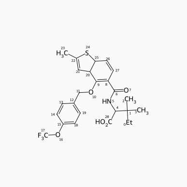 CCC(C)(C)C(NC(=O)C1=C(OCc2ccc(OC(F)(F)F)cc2)C2C=C(C)SC2C=C1)C(=O)O